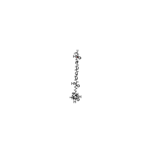 C=N[C@]12CS[C@@H](CCCCC(=O)NCCOCCOCCOCCOCCC(=O)NCC(C)C)[C@H]1NC(=O)N2